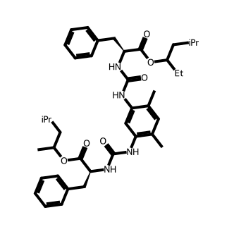 CCC(CC(C)C)OC(=O)[C@H](Cc1ccccc1)NC(=O)Nc1cc(NC(=O)N[C@@H](Cc2ccccc2)C(=O)OC(C)CC(C)C)c(C)cc1C